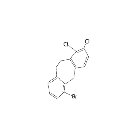 Clc1ccc2c(c1Cl)CCc1cccc(Br)c1C2